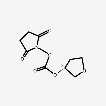 O=C(O[C@@H]1CCOC1)ON1C(=O)CCC1=O